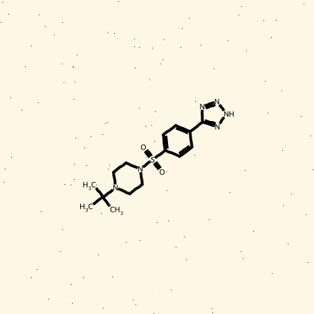 CC(C)(C)N1CCN(S(=O)(=O)c2ccc(-c3nn[nH]n3)cc2)CC1